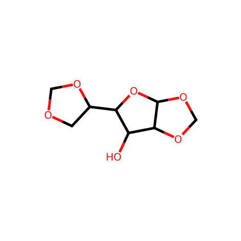 OC1C(C2COCO2)OC2OCOC21